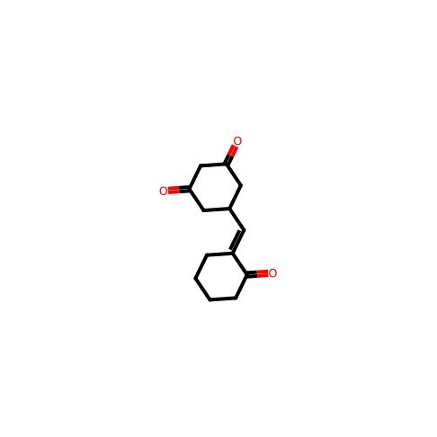 O=C1CC(=O)CC(/C=C2\CCCCC2=O)C1